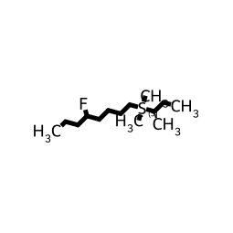 CCCC(F)CCCCS(C)(C)[C@@H](C)CC